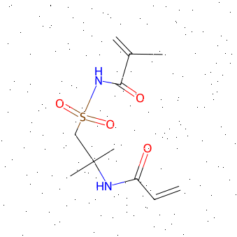 C=CC(=O)NC(C)(C)CS(=O)(=O)NC(=O)C(=C)C